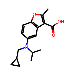 Cc1oc2ccc(N(CC3CC3)C(C)C)cc2c1C(=O)O